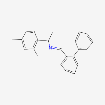 Cc1ccc(C(C)/N=C/c2ccccc2-c2ccccc2)c(C)c1